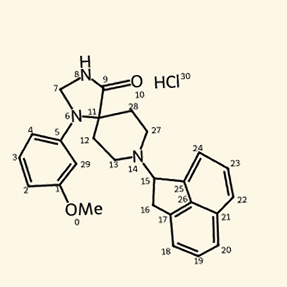 COc1cccc(N2CNC(=O)C23CCN(C2Cc4cccc5cccc2c45)CC3)c1.Cl